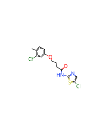 Cc1ccc(OCCCC(=O)Nc2ncc(Cl)s2)cc1Cl